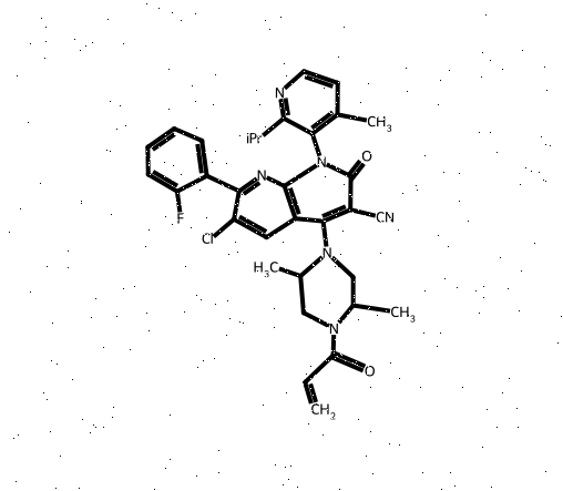 C=CC(=O)N1CC(C)N(c2c(C#N)c(=O)n(-c3c(C)ccnc3C(C)C)c3nc(-c4ccccc4F)c(Cl)cc23)CC1C